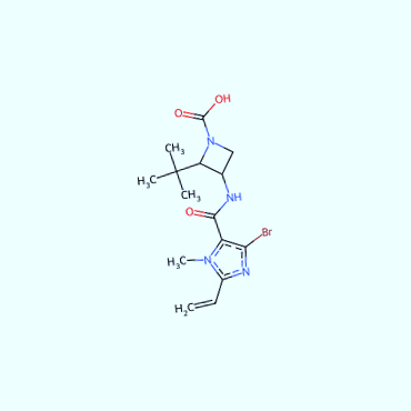 C=Cc1nc(Br)c(C(=O)NC2CN(C(=O)O)C2C(C)(C)C)n1C